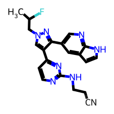 CC(F)Cn1cc(-c2ccnc(NCCC#N)n2)c(-c2cnc3[nH]ccc3c2)n1